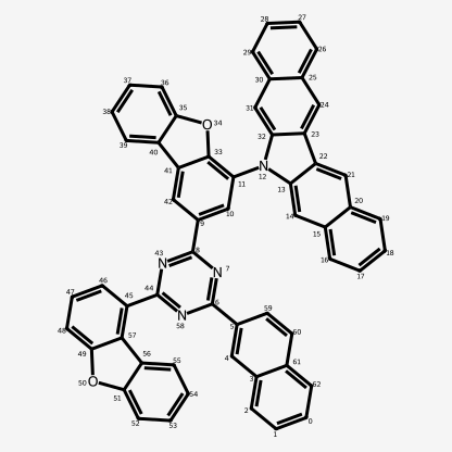 c1ccc2cc(-c3nc(-c4cc(-n5c6cc7ccccc7cc6c6cc7ccccc7cc65)c5oc6ccccc6c5c4)nc(-c4cccc5oc6ccccc6c45)n3)ccc2c1